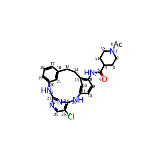 CC(=O)N1CCC(C(=O)Nc2ccc3cc2CCc2cccc(c2)Nc2ncc(Cl)c(n2)N3)CC1